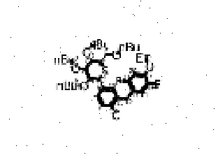 CCCCOC[C@H]1S[C@@H](c2ccc(Cl)c(Cc3cc(F)c(OCC)cc3F)c2)[C@H](OCCCC)[C@@H](OCCCC)[C@@H]1OCCCC